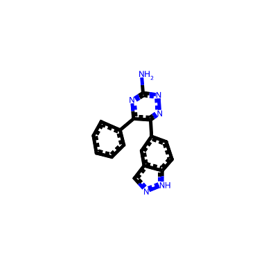 Nc1nnc(-c2ccc3[nH]ncc3c2)c(-c2ccccc2)n1